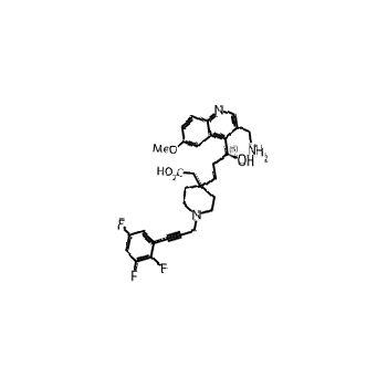 COc1ccc2ncc(CN)c([C@@H](O)CCC3(CC(=O)O)CCN(CC#Cc4cc(F)cc(F)c4F)CC3)c2c1